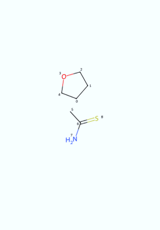 C1CCOC1.CC(N)=S